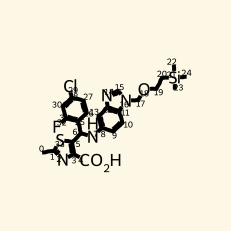 Cc1nc(C(=O)O)c(C(Nc2ccc3c(c2)ncn3COCC[Si](C)(C)C)c2ccc(Cl)cc2F)s1